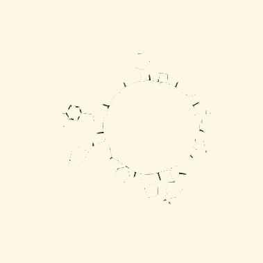 CC[C@H](C)[C@@H]1NC(=O)[C@H](CC(C)C)N(C)C(=O)C[C@@H](C(=O)N2CCS(=O)(=O)CC2)N(C)C(=O)[C@H](C2CCCC2)N(C)C(=O)C2(CCCC2)NC(=O)[C@H](CC(=O)N2CCC(F)(F)CC2)N(C)C(=O)[C@H](CCc2ccc(C(F)(F)F)c(Cl)c2)NC(=O)CN(C)C(=O)[C@H](CC2CCCCC2)N(C)C(=O)[C@@H]2CCN2C(=O)[C@H](C)N(C)C1=O